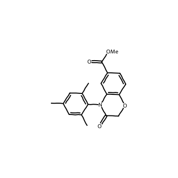 COC(=O)c1ccc2c(c1)N(c1c(C)cc(C)cc1C)C(=O)CO2